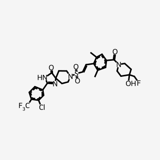 Cc1cc(C(=O)N2CCC(O)(CF)CC2)cc(C)c1C=CS(=O)(=O)N1CCC2(CC1)N=C(c1ccc(C(F)(F)F)c(Cl)c1)NC2=O